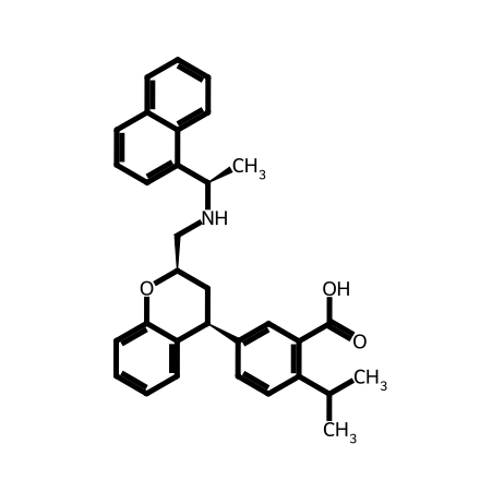 CC(C)c1ccc([C@@H]2C[C@H](CN[C@H](C)c3cccc4ccccc34)Oc3ccccc32)cc1C(=O)O